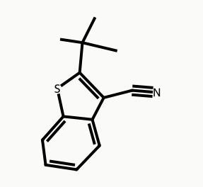 CC(C)(C)c1sc2ccccc2c1C#N